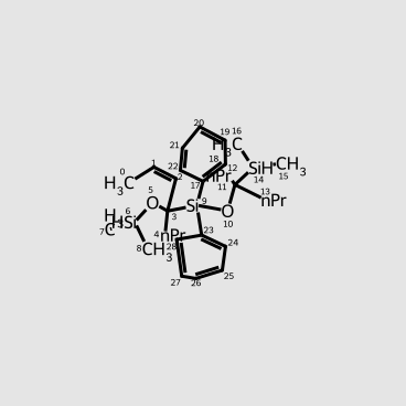 C/C=C\C(CCC)(O[SiH](C)C)[Si](OC(CCC)(CCC)[SiH](C)C)(c1ccccc1)c1ccccc1